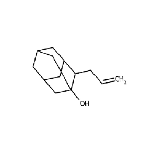 C=CCC1C2CC3CC(C2)CC1(O)C3